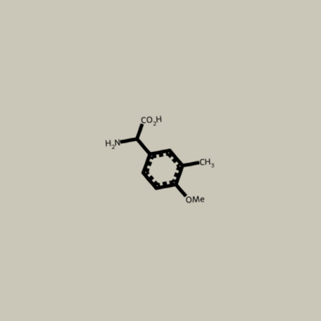 COc1ccc(C(N)C(=O)O)cc1C